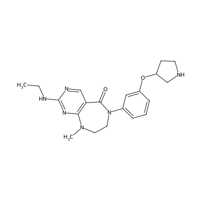 CCNc1ncc2c(n1)N(C)CCN(c1cccc(OC3CCNC3)c1)C2=O